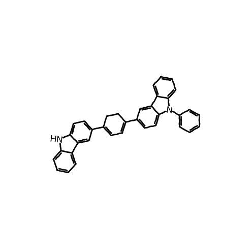 C1=C(c2ccc3[nH]c4ccccc4c3c2)CCC(c2ccc3c(c2)c2ccccc2n3-c2ccccc2)=C1